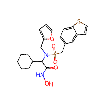 O=C(NO)C(C1CCCCC1)N(Cc1ccco1)S(=O)(=O)Cc1ccc2sccc2c1